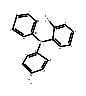 I.Nc1ccccc1P(c1ccccc1)c1ccccc1